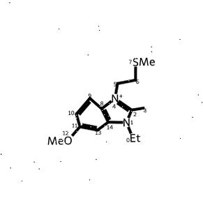 CCn1c(C)[n+](CCSC)c2ccc(OC)cc21